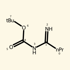 CCCC(=N)NC(=O)OC(C)(C)C